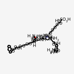 CC(C)[C@H](NC(=O)[C@@H](CCCCNC(=O)COC1CCCC(N(CCCCC(=O)Nc2ccc(COC(=O)N(C)[C@H](C(N)=O)C(C)C)cc2)C(N)=O)C/C(NCCOCCOCCOCCOCCC(=O)NCS(=O)(=O)O)=C\1N)NC(=O)CCOCCOCCOCCOCCNC(=O)CCC(=O)N1Cc2ccccc2C#Cc2ccccc21)C(N)=O